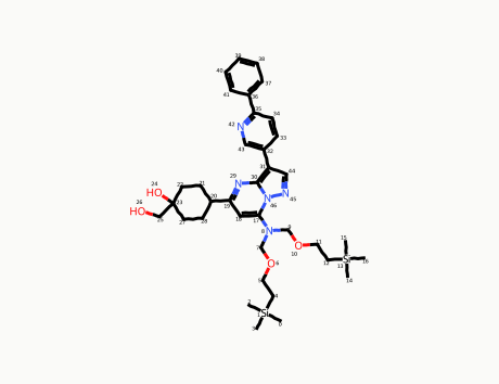 C[Si](C)(C)CCOCN(COCC[Si](C)(C)C)c1cc(C2CCC(O)(CO)CC2)nc2c(-c3ccc(-c4ccccc4)nc3)cnn12